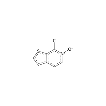 [O-][n+]1ccc2ccsc2c1Cl